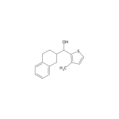 Cc1ccsc1C(O)C1CCc2ccccc2C1